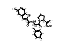 COC(=O)[C@@H]1CCCN1C(=O)[C@H](Cc1ccc(F)cc1)NC(=O)c1cc2cc(Cl)ncc2[nH]1